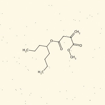 C=C(CC(=O)OC(CCC)CCCC)C(=O)OC